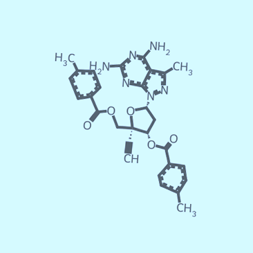 C#C[C@]1(COC(=O)c2ccc(C)cc2)O[C@H](n2nc(C)c3c(N)nc(N)nc32)C[C@@H]1OC(=O)c1ccc(C)cc1